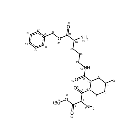 CC1CCN(C(=O)C(N)C(=O)OC(C)(C)C)C(C(=O)NCCCC(N)C(=O)OCc2ccccc2)C1